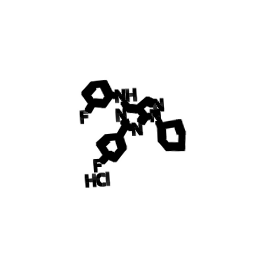 Cl.Fc1ccc(-c2nc(Nc3cccc(F)c3)c3cnn(-c4ccccc4)c3n2)cc1